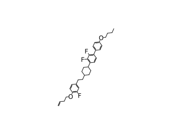 C=CCCOc1ccc(CCC2CCC(c3ccc(-c4ccc(OCCCC)cc4)c(F)c3F)CC2)cc1F